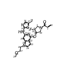 C=CC(=O)N1C[C@H](F)[C@H](Oc2nc(Nc3ncc(C)s3)cc3c2ccn3CCOC)C1